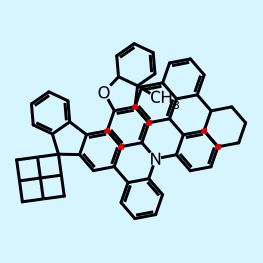 CC12C=CC=CC1Oc1ccc(N(c3ccccc3-c3ccc4c(c3)C3(c5ccccc5-4)C4CC5CC6CC3C564)c3ccccc3-c3cccc4cccc(C5CCCCC5)c34)cc12